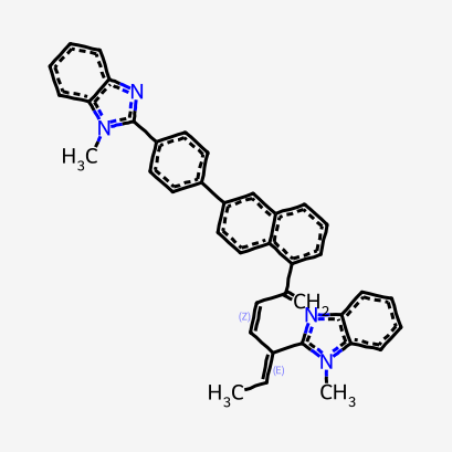 C=C(/C=C\C(=C/C)c1nc2ccccc2n1C)c1cccc2cc(-c3ccc(-c4nc5ccccc5n4C)cc3)ccc12